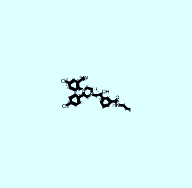 CCCNC(=O)c1cccc([C@](C)(O)CN2CCN(c3ccc(Cl)cc3C#N)C(c3ccc(Cl)cc3)C2)c1